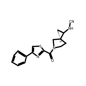 N#CNC1C[C@@]12CCN(C(=O)c1nc(-c3ccccc3)cs1)C2